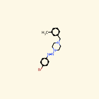 Cc1cccc(CN2CCN(N=Nc3ccc(Br)cc3)CC2)c1